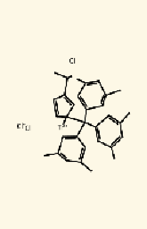 Cc1cc(C)cc(C(c2cc(C)cc(C)c2)(c2cc(C)cc(C)c2)[C]2([Ti+3])C=CC(C(C)C)=C2)c1.[Cl-].[Cl-].[Cl-]